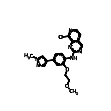 COCCOc1cc(-c2cnn(C)c2)ccc1Nc1ncc2ccnc(Cl)c2n1